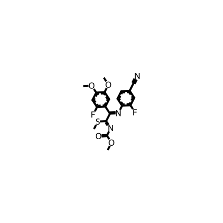 COC(=O)/N=C(SC)/C(=N/c1ccc(C#N)cc1F)c1cc(OC)c(OC)cc1F